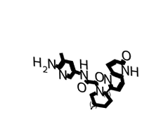 Cc1cc(NC(=O)C(=O)N2C[C@@H](C)CC[C@@H]2c2ccc3[nH]c(=O)ccc3n2)cnc1N